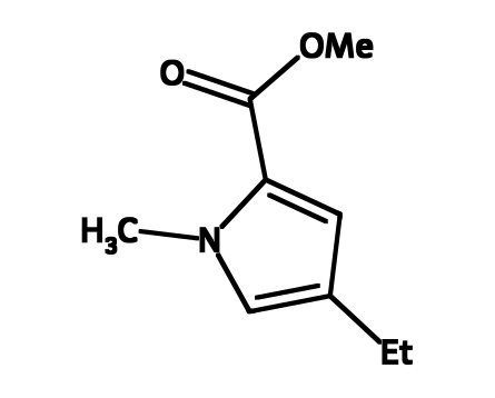 CCc1cc(C(=O)OC)n(C)c1